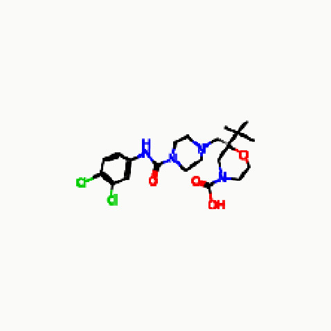 CC(C)(C)[C@]1(CN2CCN(C(=O)Nc3ccc(Cl)c(Cl)c3)CC2)CN(C(=O)O)CCO1